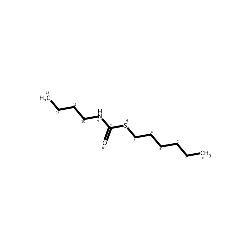 CCCCCCSC(=O)NCCCC